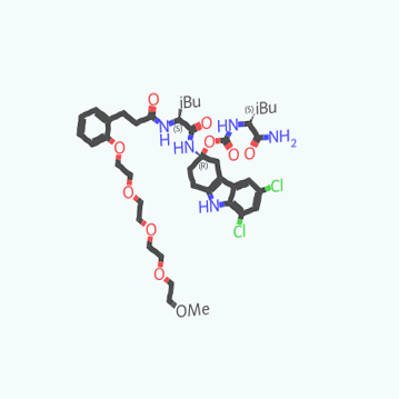 CCC(C)[C@H](NC(=O)CCc1ccccc1OCCOCCOCCOCCOC)C(=O)N[C@@]1(OC(=O)NC(C(N)=O)[C@@H](C)CC)CCc2[nH]c3c(Cl)cc(Cl)cc3c2C1